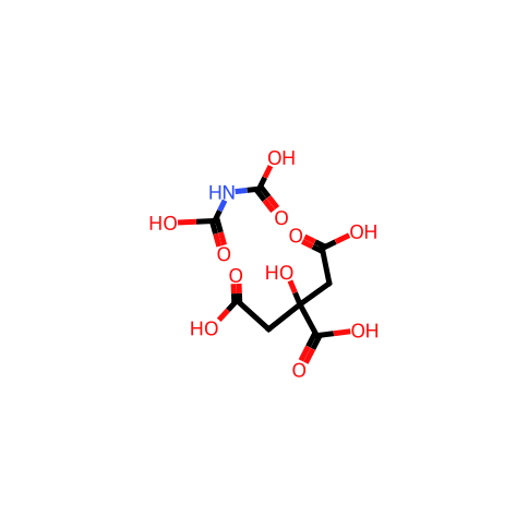 O=C(O)CC(O)(CC(=O)O)C(=O)O.O=C(O)NC(=O)O